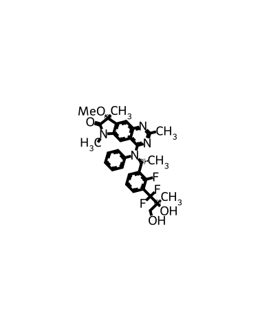 CO[C@@]1(C)C(=O)N(C)c2cc3c(N(c4ccccc4)[C@H](C)c4cccc(C(F)(F)[C@](C)(O)CO)c4F)nc(C)nc3cc21